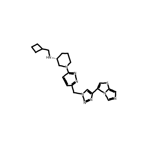 c1cc(N2CCC[C@@H](NCC3CCC3)C2)nnc1Cn1cc(-c2csc3cncn23)nn1